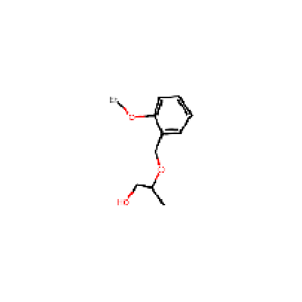 CCOc1ccccc1COC(C)CO